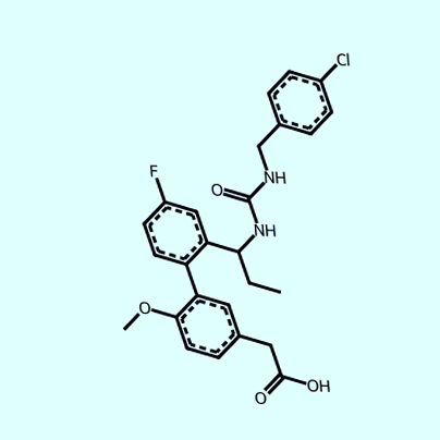 CCC(NC(=O)NCc1ccc(Cl)cc1)c1cc(F)ccc1-c1cc(CC(=O)O)ccc1OC